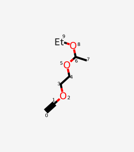 C#COCCOC(C)OCC